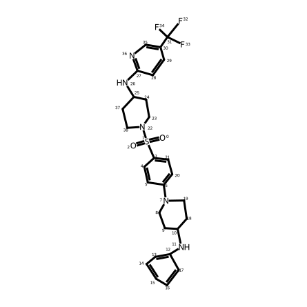 O=S(=O)(c1ccc(N2CCC(Nc3ccccc3)CC2)cc1)N1CCC(Nc2ccc(C(F)(F)F)cn2)CC1